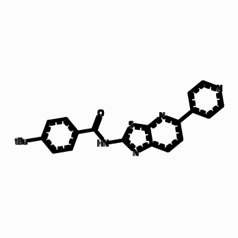 CC(C)(C)c1ccc(C(=O)Nc2nc3ccc(-c4ccncc4)nc3s2)cc1